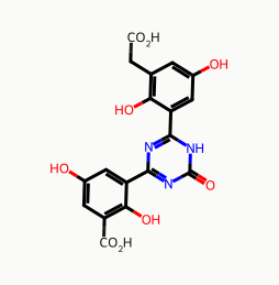 O=C(O)Cc1cc(O)cc(-c2nc(-c3cc(O)cc(C(=O)O)c3O)nc(=O)[nH]2)c1O